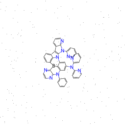 c1ccc(N2c3cc(N(c4ccccn4)c4ccccn4)cc4c3B(c3nccnc32)c2cccc3c5c6cccnc6n(-c6ccccn6)c5n-4c23)cc1